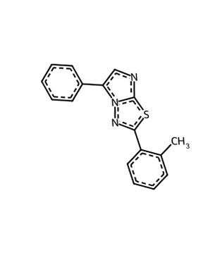 Cc1ccccc1-c1nn2c(-c3ccccc3)cnc2s1